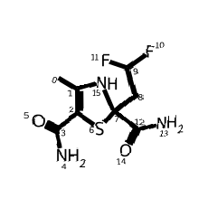 CC1=C(C(N)=O)SC(CC(F)F)(C(N)=O)N1